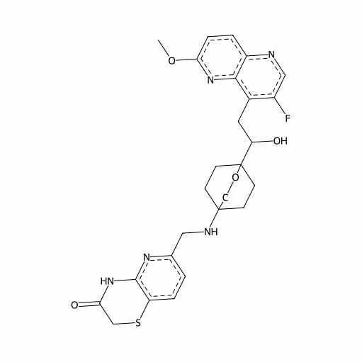 COc1ccc2ncc(F)c(CC(O)C34CCC(NCc5ccc6c(n5)NC(=O)CS6)(CC3)CO4)c2n1